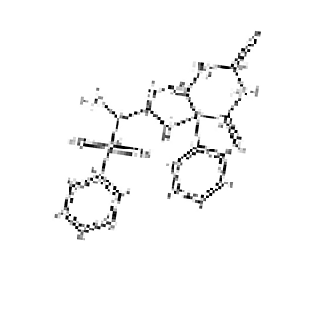 CC(C(=O)NC1(c2ccccc2)C(=O)NC(=O)NC1=O)S(=O)(=O)c1ccccc1